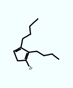 CCCCC1=CC[C]([Zr])=C1CCCC